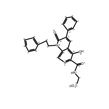 O=C(O)CNC(=O)c1ncc2c(cc(-c3ccccc3)c(=O)n2CCc2ccccc2)c1O